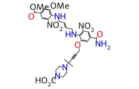 COC(=O)c1cc(OC)c(NC/C=C/CNc2c(OCC#CC(C)(C)N3CCN(C(=O)O)CC3)cc(C(N)=O)cc2[N+](=O)[O-])c([N+](=O)[O-])c1